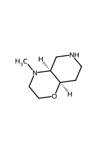 CN1CCO[C@@H]2CCNC[C@@H]21